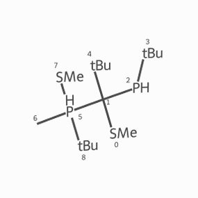 CSC(PC(C)(C)C)(C(C)(C)C)[PH](C)(SC)C(C)(C)C